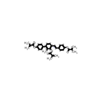 C=C(C)C(=O)Oc1ccc(/C=C/c2ccc(-c3ccc(OC(=O)C(=C)C)cc3)c(C)c2OC(=O)C(=C)C)cc1